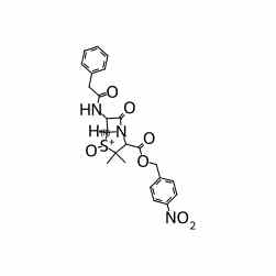 CC1(C)C(C(=O)OCc2ccc([N+](=O)[O-])cc2)N2C(=O)C(NC(=O)Cc3ccccc3)[C@H]2[S+]1[O-]